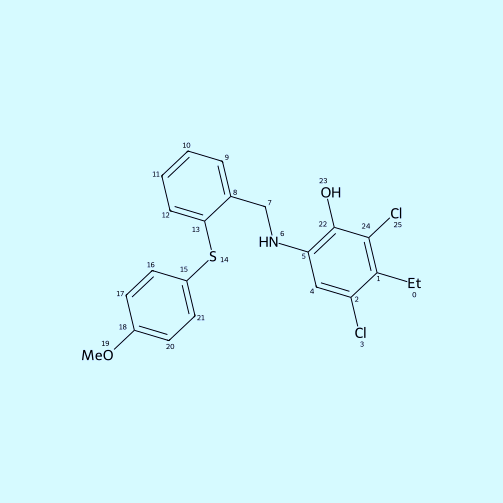 CCc1c(Cl)cc(NCc2ccccc2Sc2ccc(OC)cc2)c(O)c1Cl